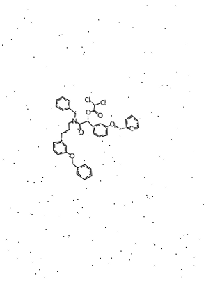 O=C(O[C@@H](C(=O)N(CCCc1cccc(OCc2ccccc2)c1)Cc1ccccc1)c1cccc(OCc2ccccc2)c1)C(Cl)Cl